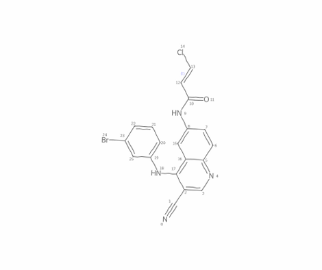 N#Cc1cnc2ccc(NC(=O)/C=C/Cl)cc2c1Nc1cccc(Br)c1